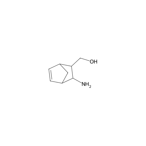 NC1C2C=CC(C2)C1CO